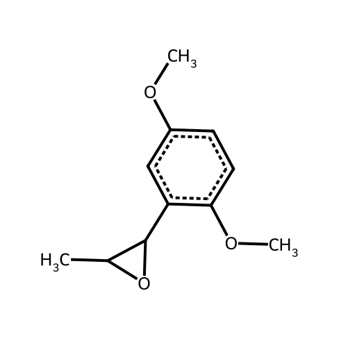 COc1ccc(OC)c(C2OC2C)c1